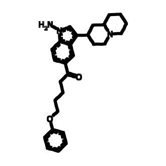 Nn1cc(C2CCN3CCCCC3C2)c2cc(C(=O)CCCCOc3ccccc3)ccc21